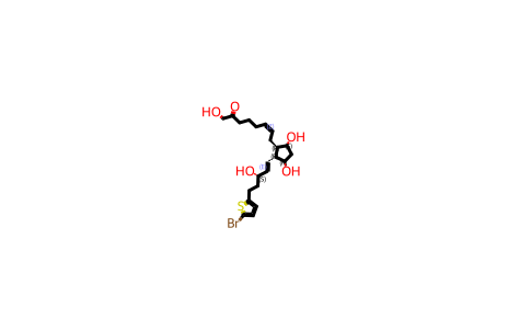 O=C(CO)CCC/C=C\C[C@@H]1[C@@H](/C=C/[C@@H](O)CCc2ccc(Br)s2)[C@H](O)C[C@@H]1O